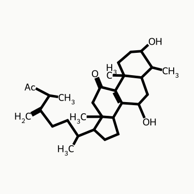 C=C(CCC(C)C1CCC2C3=C(C(=O)CC21C)C1(C)CCC(O)C(C)C1CC3O)C(C)C(C)=O